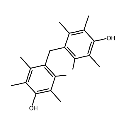 Cc1c(C)c(Cc2c(C)c(C)c(O)c(C)c2C)c(C)c(C)c1O